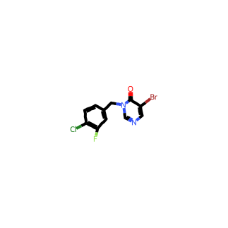 O=c1c(Br)cncn1Cc1ccc(Cl)c(F)c1